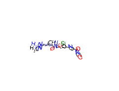 C=N\C(N)=C/C=C(C)/C=C/C(=O)NCC1Cc2cc(-c3ccc(C(=O)N4CCOCC4)cn3)cc(Cl)c2O1